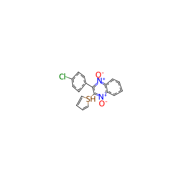 [O-][n+]1c(-c2ccc(Cl)cc2)c([SH]2C=CC=C2)[n+]([O-])c2ccccc21